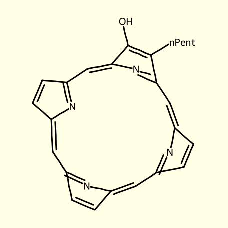 CCCCCC1=C(O)C2=CC3=NC(=CC4=NC(=CC5=NC(=CC1=N2)C=C5)C=C4)C=C3